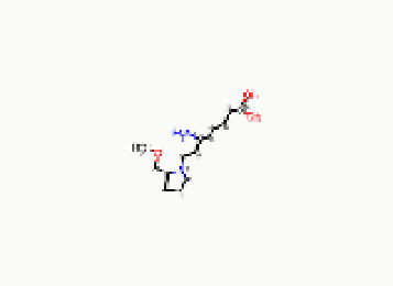 COC[C@@H]1CCCN1CCC(N)CCCCB(O)O